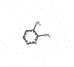 [CH2]c1nnccc1C(F)(F)F